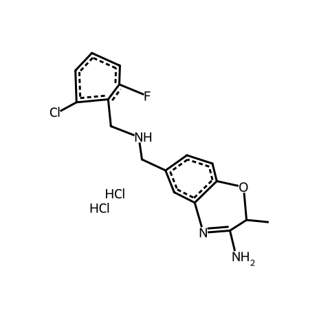 CC1Oc2ccc(CNCc3c(F)cccc3Cl)cc2N=C1N.Cl.Cl